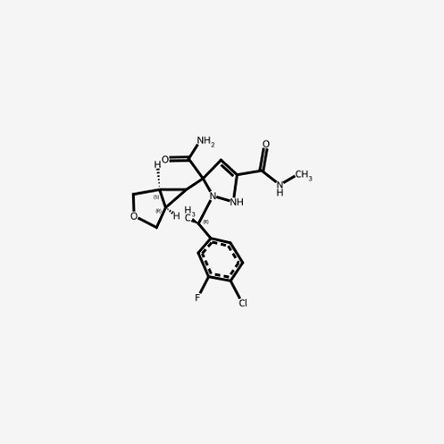 CNC(=O)C1=CC(C(N)=O)(C2[C@H]3COC[C@@H]23)N([C@H](C)c2ccc(Cl)c(F)c2)N1